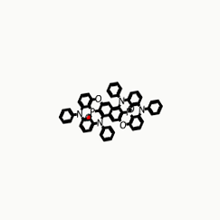 O=P12c3c4cccc3N(c3ccccc3)c3cccc(c31)N(c1ccccc1)c1c2c(cc2c3c5c(cc12)Oc1cccc2c1P5(=O)c1c(cccc1N3c1ccccc1)N2c1ccccc1)O4